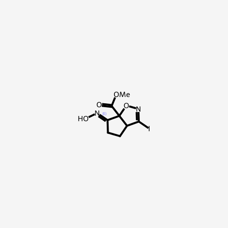 COC(=O)C12ON=C(I)C1CC/C2=N\O